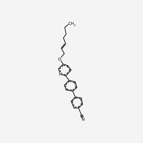 CCCCC=CCOc1ccc(-c2ccc(-c3ccc(C#N)cc3)cc2)nc1